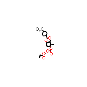 C=CC(=O)OCOC(=O)Oc1ccc(OC(=O)C2CCC(C(=O)O)CC2)c(C)c1C